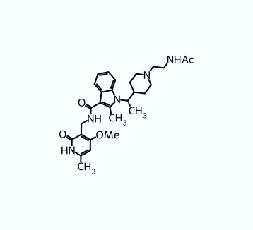 COc1cc(C)[nH]c(=O)c1CNC(=O)c1c(C)n([C@H](C)C2CCN(CCNC(C)=O)CC2)c2ccccc12